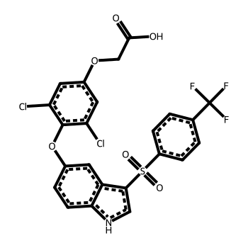 O=C(O)COc1cc(Cl)c(Oc2ccc3[nH]cc(S(=O)(=O)c4ccc(C(F)(F)F)cc4)c3c2)c(Cl)c1